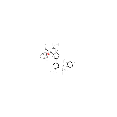 COc1ncc(-c2ccc3nc(N)nc(N4C[C@H]5CC[C@@H](C4)N5C(=O)/C=C/C(C)=O)c3n2)cc1NS(=O)(=O)c1ccc(F)cc1F